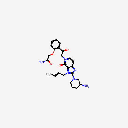 C/C=C/Cn1c(N2CCCC(N)C2)nc2ccn(CC(=O)c3ccccc3OCC(N)=O)c(=O)c21